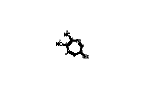 CCC1C=NC(C#N)=C(C#N)N=C1